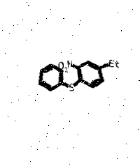 CCc1ccc(Sc2ccccc2)c([N+](=O)[O-])c1